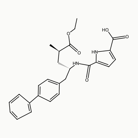 CCOC(=O)[C@H](C)C[C@@H](Cc1ccc(-c2ccccc2)cc1)NC(=O)c1ccc(C(=O)O)[nH]1